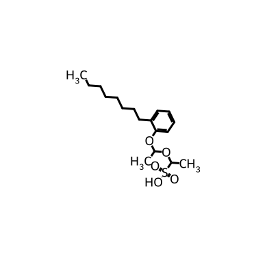 CCCCCCCCc1ccccc1OC(C)OC(C)S(=O)(=O)O